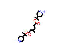 CC(CCC(=O)OC(C)(C)C1CCNCC1)CC(=O)OC(C)(C)C1CCNCC1